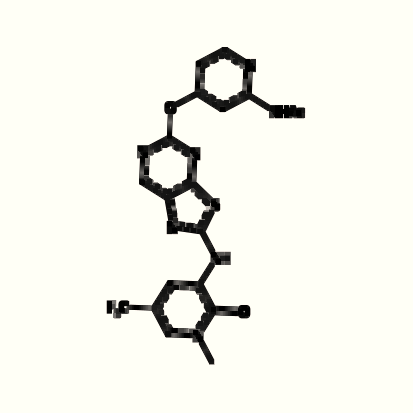 CC(=O)Nc1cc(Oc2ncc3nc(Nc4cc(C(F)(F)F)cn(C)c4=O)sc3n2)ccn1